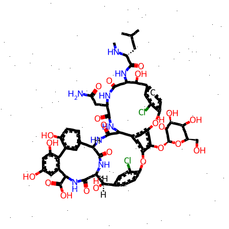 CN[C@H](CC(C)C)C(=O)NC1C(=O)NC(CC(N)=O)C(=O)NC2C(=O)N[C@H]3C(=O)N[C@H](C(=O)NC(C(=O)O)c4cc(O)cc(O)c4-c4cc3ccc4O)[C@H](O)c3ccc(c(Cl)c3)Oc3cc2cc(c3O[C@@H]2O[C@H](CO)C(O)[C@H](O)C2O)Oc2ccc(cc2Cl)C1O